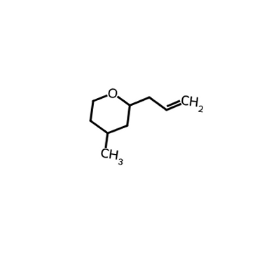 C=CCC1CC(C)CCO1